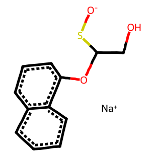 [Na+].[O-]SC(CO)Oc1cccc2ccccc12